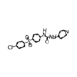 O=C(NCc1ccncc1)Nc1ccc(S(=O)(=O)c2ccc(Cl)cc2)cc1